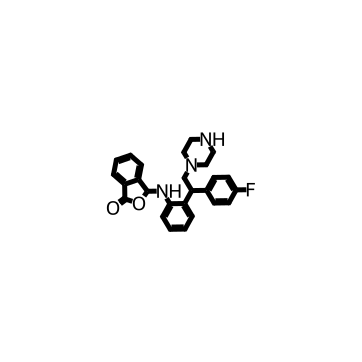 O=C1OC(Nc2ccccc2C(CN2CCNCC2)c2ccc(F)cc2)c2ccccc21